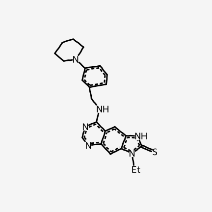 CCn1c(=S)[nH]c2cc3c(NCc4cccc(N5CCCCC5)c4)ncnc3cc21